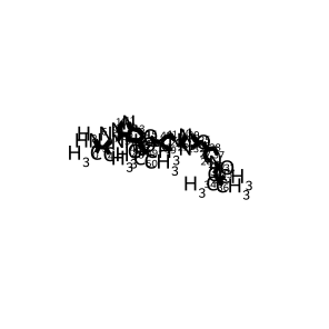 CC(=N)/C(C)=C(\N)Nc1ncnc2cc(OCC3CCN(c4ncc(OC5CCN(C(=O)OC(C)(C)C)CC5)cn4)CC3)c(S(=O)(=O)C(C)(C)C)cc12